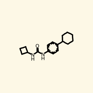 O=C(Nc1ccc(C2CCCCC2)cc1)NC1CCC1